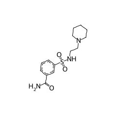 NC(=O)c1cccc(S(=O)(=O)NCCN2CCCCC2)c1